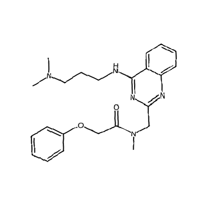 CN(C)CCCNc1nc(CN(C)C(=O)COc2ccccc2)nc2ccccc12